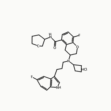 Cl.O=C(NC1CCCCC1)c1ccc(F)c2c1CC(N(CCCc1c[nH]c3ccc(F)cc13)C1CCC1)CO2